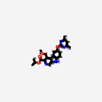 COCc1c(C(=O)OC(C)C)ncc2[nH]c3ccc(Oc4nc(C)cc(C)n4)cc3c12